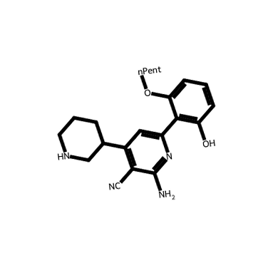 CCCCCOc1cccc(O)c1-c1cc(C2CCCNC2)c(C#N)c(N)n1